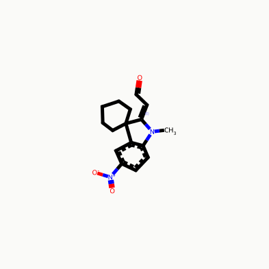 CN1/C(=C/C=O)C2(CCCCC2)c2cc([N+](=O)[O-])ccc21